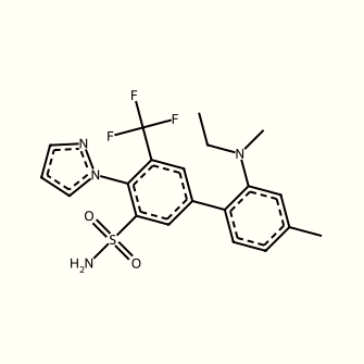 CCN(C)c1cc(C)ccc1-c1cc(C(F)(F)F)c(-n2cccn2)c(S(N)(=O)=O)c1